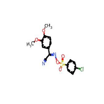 COc1ccc(C(C#N)=NOS(=O)(=O)c2ccc(Cl)cc2)cc1OC